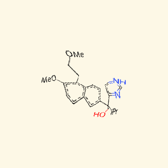 COCCc1c(OC)ccc2cc(C(O)(c3c[nH]cn3)C(C)C)ccc12